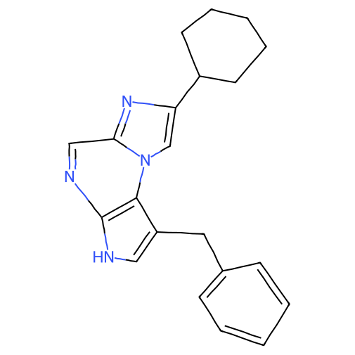 c1ccc(Cc2c[nH]c3ncc4nc(C5CCCCC5)cn4c23)cc1